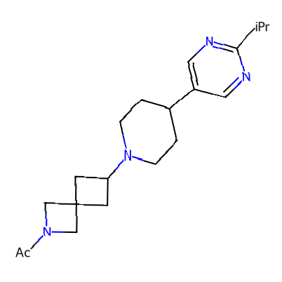 CC(=O)N1CC2(CC(N3CCC(c4cnc(C(C)C)nc4)CC3)C2)C1